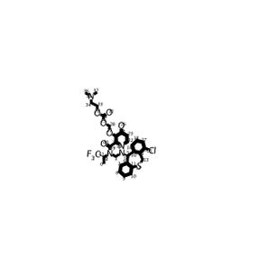 C[C@@H](N1CN([C@@H]2c3ccccc3SCc3c(Cl)cccc32)n2ccc(=O)c(OCOC(=O)OCCN(C)C)c2C1=O)C(F)(F)F